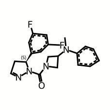 CN(c1ccccc1)C1CN(C(=O)N2N=CC[C@H]2c2cc(F)cc(F)c2)C1